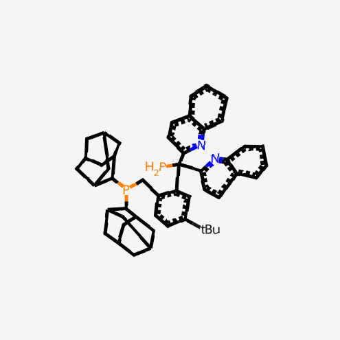 CC(C)(C)c1ccc(CP(C2C3CC4CC(C3)CC2C4)C2C3CC4CC(C3)CC2C4)c(C(P)(c2ccc3ccccc3n2)c2ccc3ccccc3n2)c1